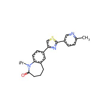 Cc1ccc(-c2nc(-c3ccc4c(c3)CCCC(=O)N4C(C)C)cs2)cn1